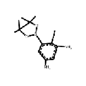 CC1(C)OB(c2cc(N)cc(N)c2F)OC1(C)C